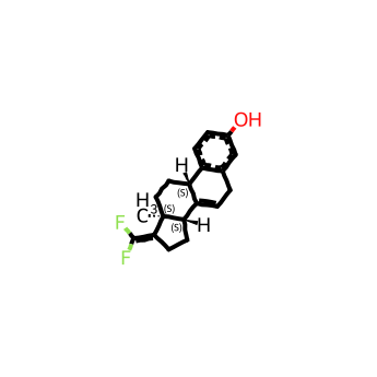 C[C@]12CC[C@H]3C(=CCc4cc(O)ccc43)[C@@H]1CCC2=C(F)F